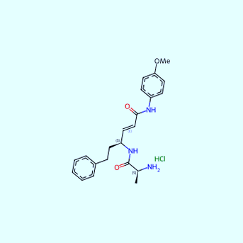 COc1ccc(NC(=O)/C=C/[C@H](CCc2ccccc2)NC(=O)[C@H](C)N)cc1.Cl